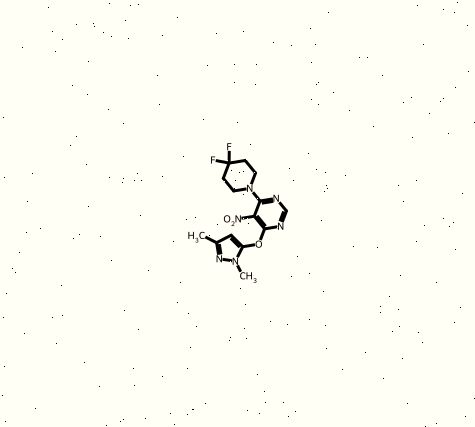 Cc1cc(Oc2ncnc(N3CCC(F)(F)CC3)c2[N+](=O)[O-])n(C)n1